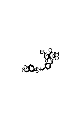 CCn1cnc2c1c(=O)[nH]c(=O)n2Cc1ccc(CNSc2ccc3oncc3c2)cc1